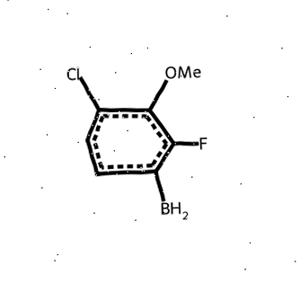 Bc1ccc(Cl)c(OC)c1F